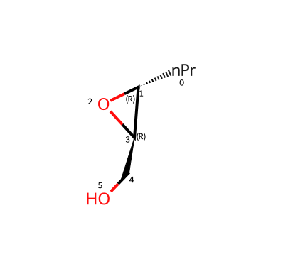 CCC[C@H]1O[C@@H]1CO